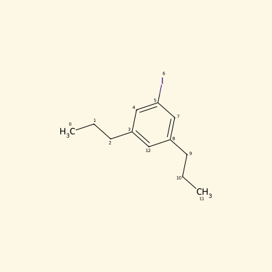 CCCc1cc(I)cc(CCC)c1